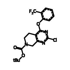 CC(C)(C)OC(=O)N1CCc2c(nc(Cl)nc2Oc2ccccc2C(F)(F)F)C1